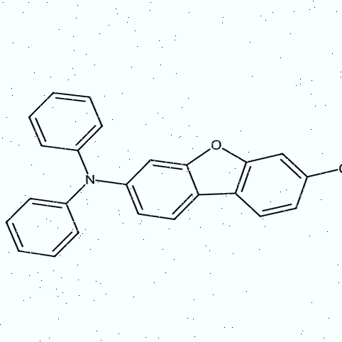 Cc1ccc2c(c1)oc1cc(N(c3ccccc3)c3ccccc3)ccc12